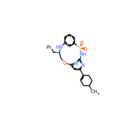 CC(C)C[C@@H]1COc2cc(C3=CCC(C)CC3)nc(n2)NS(=O)(=O)c2cccc(c2)N1